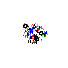 CC(C)[C@H](NC(=O)Cc1ccc(C2(C(F)(F)F)N=N2)cc1)C(=O)N[C@@H](Cc1ccccc1)C(=O)N[C@@H](C)C(=O)NCB1O[C@@H]2CC3C[C@@H](C3(C)C)[C@]2(C)O1